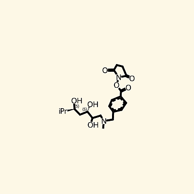 CC(C)[C@@H](O)C[C@H](O)C(O)CN(C)Cc1ccc(C(=O)ON2C(=O)CCC2=O)cc1